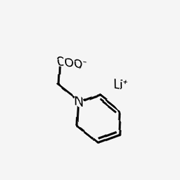 O=C([O-])CN1C=CC=CC1.[Li+]